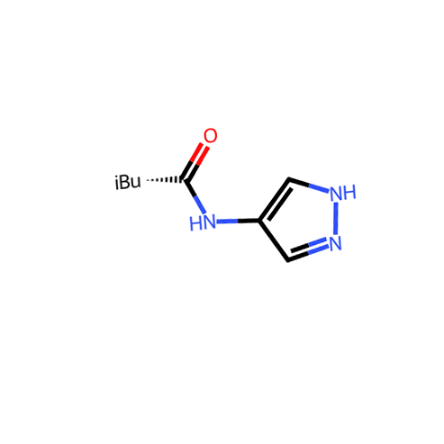 CC[C@@H](C)C(=O)Nc1cn[nH]c1